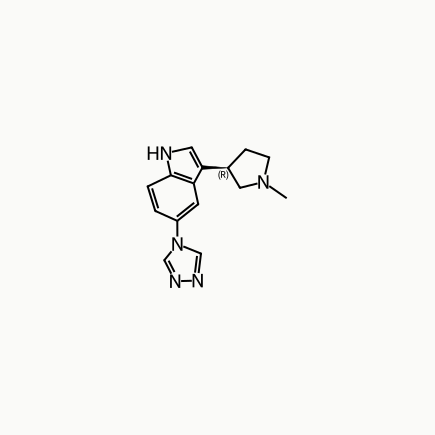 CN1CC[C@H](c2c[nH]c3ccc(-n4cnnc4)cc23)C1